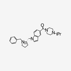 CC(C)N1CCN(C(=O)c2ccc3c(ccn3C[C@@H]3CCCN3Cc3ccccc3)c2)CC1